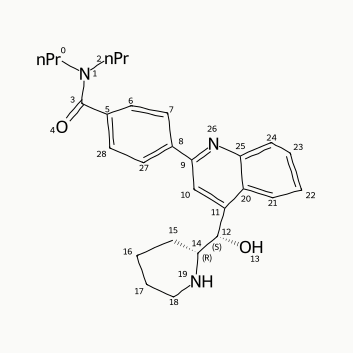 CCCN(CCC)C(=O)c1ccc(-c2cc([C@H](O)[C@H]3CCCCN3)c3ccccc3n2)cc1